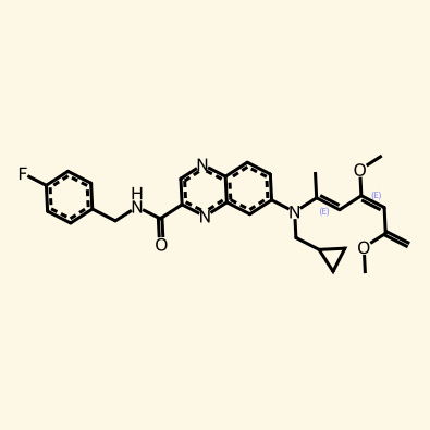 C=C(/C=C(\C=C(/C)N(CC1CC1)c1ccc2ncc(C(=O)NCc3ccc(F)cc3)nc2c1)OC)OC